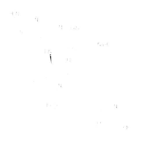 CC(=O)O/N=C(\C(=O)N[C@@H]1C(=O)N2C(C(=O)O)=C(/C=C3\CCN(CC(F)(F)F)C3=O)CC[C@H]12)c1csc(N)n1.[NaH]